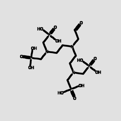 O=CCN(CCN(CP(=O)(O)O)CP(=O)(O)O)CCN(CP(=O)(O)O)CP(=O)(O)O